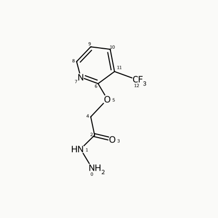 NNC(=O)COc1ncccc1C(F)(F)F